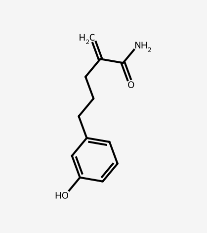 C=C(CCCc1cccc(O)c1)C(N)=O